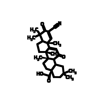 CC1(C)CC[C@]2(C(=O)O)CC[C@]3(C)C(C(=O)C=C4[C@@]5(C)C=C(C#N)C(=O)C(C)(C)C5CC[C@]43C)C2C1